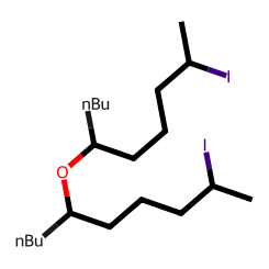 CCCCC(CCCC(C)I)OC(CCCC)CCCC(C)I